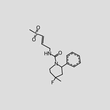 CC1(F)CCN(C(=O)NC/C=C/S(C)(=O)=O)C(c2ccccc2)C1